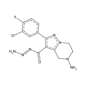 NN=NC(=O)c1c(-c2ccc(F)c(Cl)c2)nn2c1CN(N)CC2